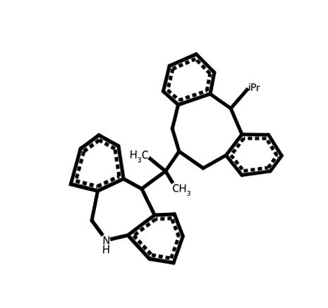 CC(C)C1c2ccccc2CC(C(C)(C)C2c3ccccc3CNc3ccccc32)Cc2ccccc21